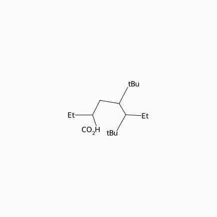 CCC(CC(C(CC)C(C)(C)C)C(C)(C)C)C(=O)O